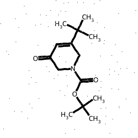 CC(C)(C)OC(=O)N1CC(=O)C=C(C(C)(C)C)C1